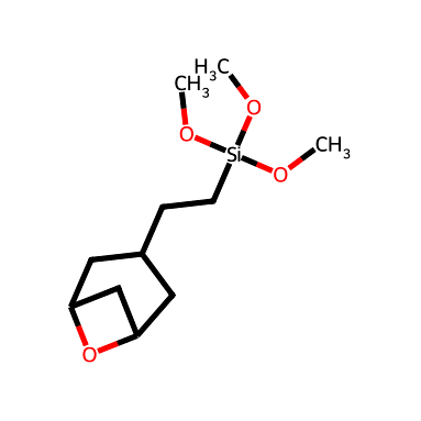 CO[Si](CCC1CC2CC(C1)O2)(OC)OC